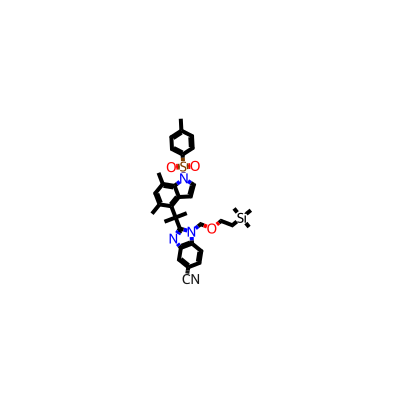 Cc1ccc(S(=O)(=O)n2ccc3c(C(C)(C)c4nc5cc(C#N)ccc5n4COCC[Si](C)(C)C)c(C)cc(C)c32)cc1